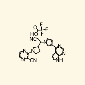 N#CCC(C1CCN(c2nccnc2C#N)C1)n1ccc(-c2ncnc3[nH]ccc23)c1.O=C(O)C(F)(F)F